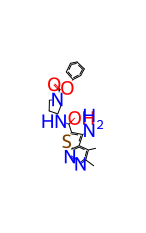 Cc1nnc2sc(C(O)NC3CCN(C(=O)Oc4ccccc4)C3)c(N)c2c1C